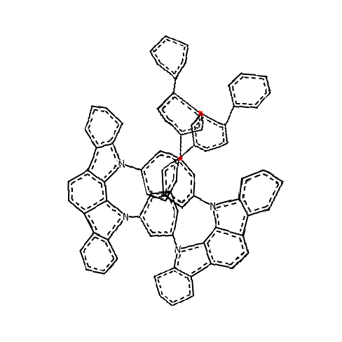 c1ccc(-c2ccc(-c3cccc(-n4c5ccccc5c5ccc6c7ccccc7n(-c7cccc(-n8c9ccccc9c9ccc%10c%11ccccc%11n(-c%11cccc(-c%12ccc(-c%13ccccc%13)cc%12)c%11)c%10c98)c7)c6c54)c3)cc2)cc1